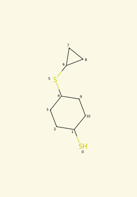 SC1CCC(SC2CC2)CC1